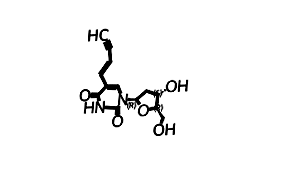 C#CC=Cc1cn([C@H]2C[C@H](O)[C@@H](CO)O2)c(=O)[nH]c1=O